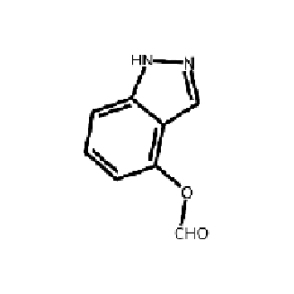 O=COc1cccc2[nH]ncc12